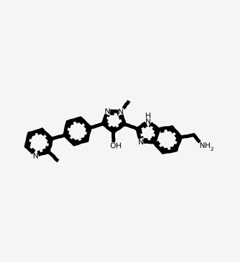 Cc1ncccc1-c1ccc(-c2nn(C)c(-c3nc4ccc(CN)cc4[nH]3)c2O)cc1